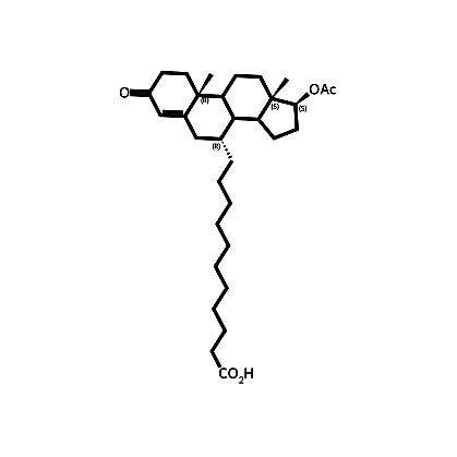 CC(=O)O[C@H]1CCC2C3C(CC[C@@]21C)[C@@]1(C)CCC(=O)C=C1C[C@H]3CCCCCCCCCCC(=O)O